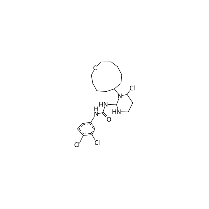 O=C(Nc1ccc(Cl)c(Cl)c1)NC1NCCC(Cl)N1C1CCCCCCCCCC1